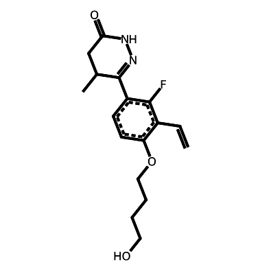 C=Cc1c(OCCCCO)ccc(C2=NNC(=O)CC2C)c1F